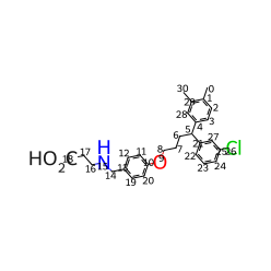 Cc1ccc(C(CCCOc2ccc(CNCCC(=O)O)cc2)c2cccc(Cl)c2)cc1C